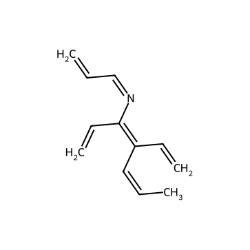 C=C\C=N/C(C=C)=C(C=C)/C=C\C